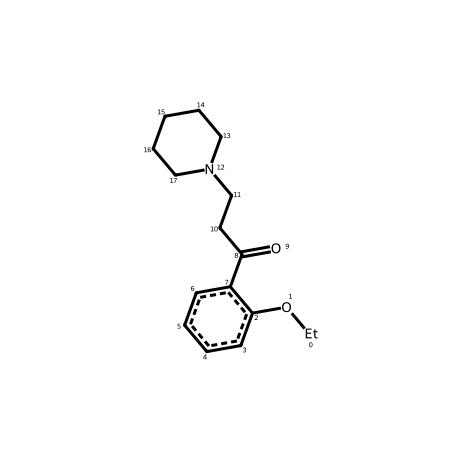 CCOc1ccccc1C(=O)CCN1CCCCC1